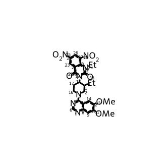 CCC1CN(c2ncnc3cc(OC)c(OC)cc23)CCC1n1c(=O)c2cc([N+](=O)[O-])cc([N+](=O)[O-])c2n(CC)c1=O